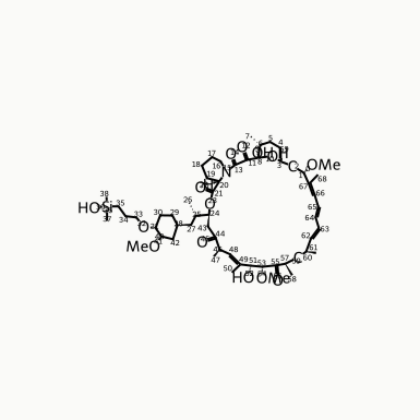 CO[C@H]1C[C@@H]2CC[C@@H](C)[C@@](O)(O2)C(=O)C(=O)N2CCCC[C@H]2C(=O)O[C@H]([C@@H](C)C[C@@H]2CC[C@@H](OCCC[Si](C)(C)O)[C@H](OC)C2)CC(=O)[C@H](C)/C=C(\C)[C@@H](O)[C@@H](OC)C(=O)[C@H](C)C[C@H](C)/C=C/C=C/C=C/1C